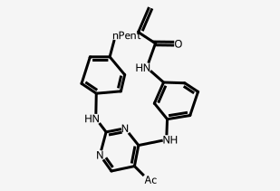 C=CC(=O)Nc1cccc(Nc2nc(Nc3ccc(CCCCC)cc3)ncc2C(C)=O)c1